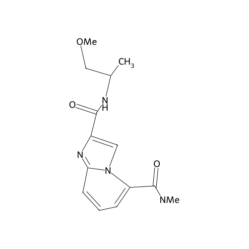 CNC(=O)c1cccc2nc(C(=O)NC(C)COC)cn12